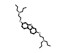 CCCN(CCC)CCOc1ccc2c(c1)sc1cc(OCCN(CCC)CCC)ccc12